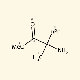 CCCC(C)(N)C(=O)OC